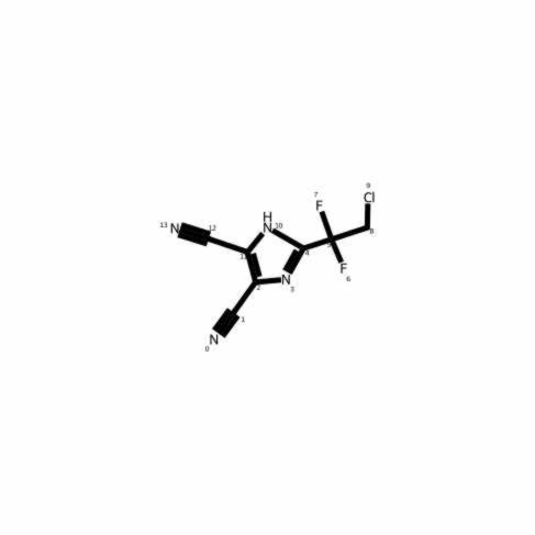 N#Cc1nc(C(F)(F)CCl)[nH]c1C#N